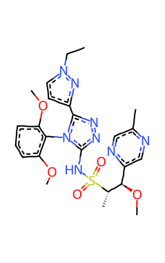 CCn1ccc(-c2nnc(NS(=O)(=O)[C@@H](C)[C@H](OC)c3cnc(C)cn3)n2-c2c(OC)cccc2OC)n1